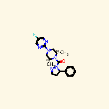 C[C@@H]1CN(c2ncc(F)cn2)C[C@H](C)N1C(=O)N1N=CCC1c1ccccc1